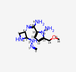 C=NNC1NC[C@@H]1/N=C(/N)c1ccc(COC)n1N